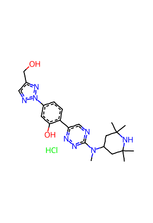 CN(c1ncc(-c2ccc(-n3ncc(CO)n3)cc2O)nn1)C1CC(C)(C)NC(C)(C)C1.Cl